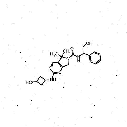 CC1(C)c2cnc(N[C@H]3C[C@H](O)C3)nc2CN1C(=O)N[C@H](CO)c1ccccc1